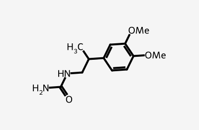 COc1ccc(C(C)CNC(N)=O)cc1OC